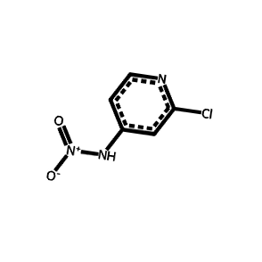 O=[N+]([O-])Nc1ccnc(Cl)c1